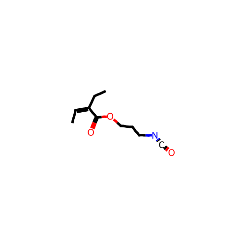 CC=C(CC)C(=O)OCCCN=C=O